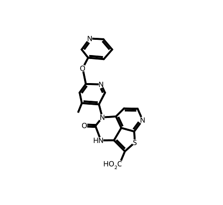 Cc1cc(Oc2cccnc2)ncc1N1C(=O)Nc2c(C(=O)O)sc3nccc1c23